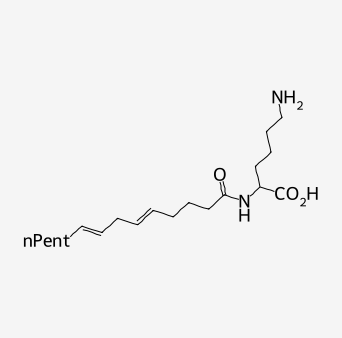 CCCCCC=CCC=CCCCC(=O)NC(CCCCN)C(=O)O